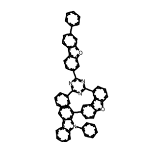 c1ccc(-c2ccc3c(c2)oc2cc(-c4nc(-c5ccccc5)nc(-c5cccc6oc7ccc(-c8cccc9c%10ccccc%10n(-c%10ccccc%10)c89)cc7c56)n4)ccc23)cc1